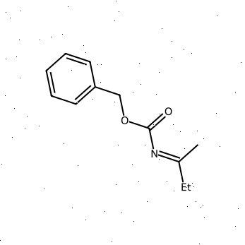 CCC(C)=NC(=O)OCc1ccccc1